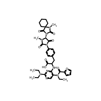 CCN(CC)c1ncc(N(CC)C(=O)c2ccco2)c(NC(Cc2ccc(N3C(=O)[C@H](N4C(=O)N(C)C5(CCCCC5)C4=O)N(C)C3=O)cc2)C(=O)O)n1